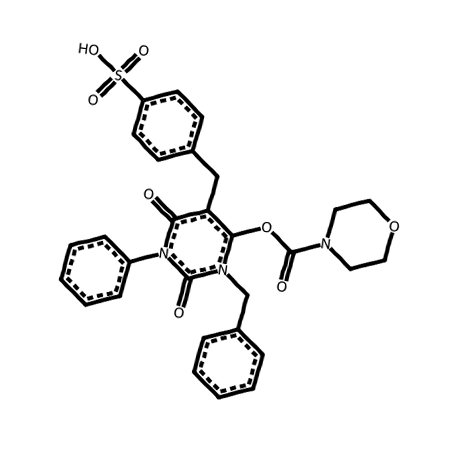 O=C(Oc1c(Cc2ccc(S(=O)(=O)O)cc2)c(=O)n(-c2ccccc2)c(=O)n1Cc1ccccc1)N1CCOCC1